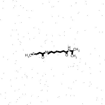 CSCCC(=O)NCCCCCCC(=O)NC(C)C